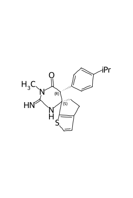 CC(C)c1ccc([C@H]2C(=O)N(C)C(=N)N[C@@]23CCc2ccsc23)cc1